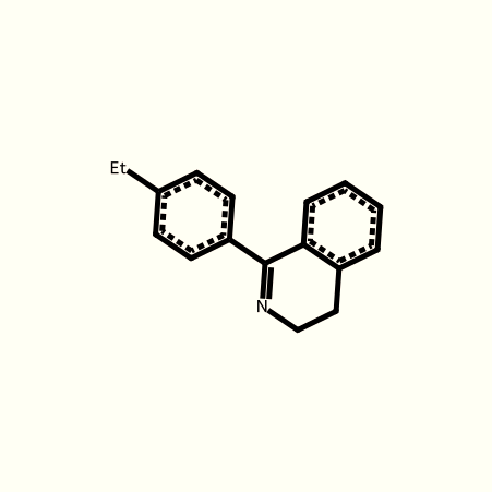 CCc1ccc(C2=NCCc3ccccc32)cc1